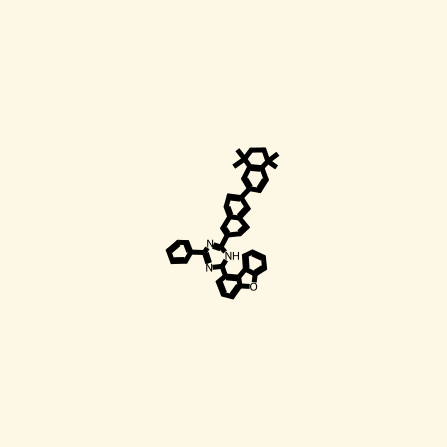 CC1(C)CCC(C)(C)c2cc(-c3ccc4cc(C5=NC(c6ccccc6)=NC(c6cccc7oc8ccccc8c67)N5)ccc4c3)ccc21